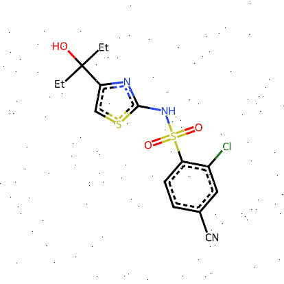 CCC(O)(CC)c1csc(NS(=O)(=O)c2ccc(C#N)cc2Cl)n1